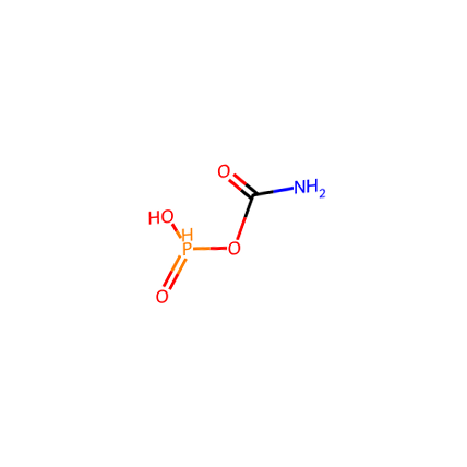 NC(=O)O[PH](=O)O